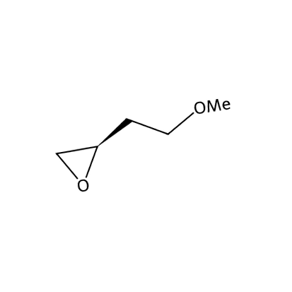 COCC[C@@H]1CO1